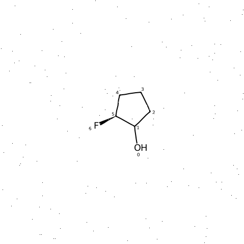 OC1CCC[C@@H]1F